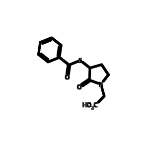 O=C(O)CN1CCC(SC(=O)c2ccccc2)C1=O